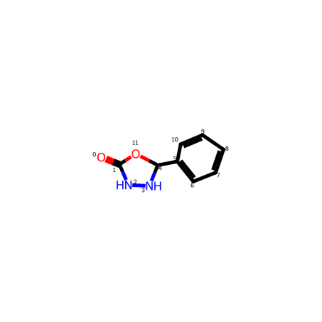 O=C1NNC(c2ccccc2)O1